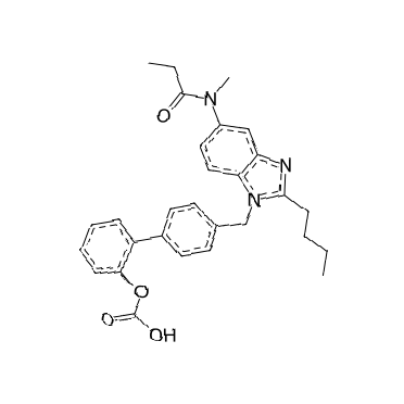 CCCCc1nc2cc(N(C)C(=O)CC)ccc2n1Cc1ccc(-c2ccccc2OC(=O)O)cc1